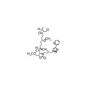 COCC1OC(=O)N(CCCCn2cc(-c3ccccn3)nn2)C1C(C)N(C)CCCC(CCC(=O)C(C)C=O)OC